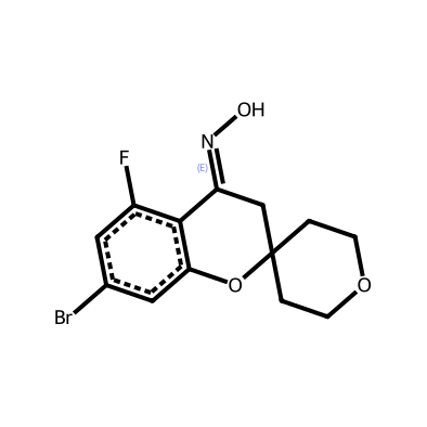 O/N=C1\CC2(CCOCC2)Oc2cc(Br)cc(F)c21